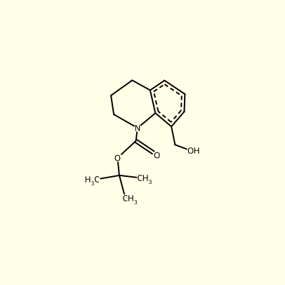 CC(C)(C)OC(=O)N1CCCc2cccc(CO)c21